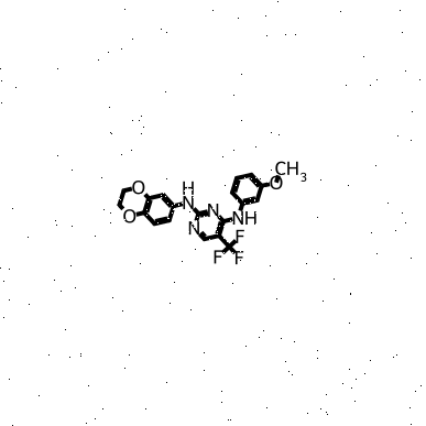 COc1cccc(Nc2nc(Nc3ccc4c(c3)OCCO4)ncc2C(F)(F)F)c1